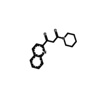 O=C(CC(=O)N1CCCCC1)c1ccc2ccccc2n1